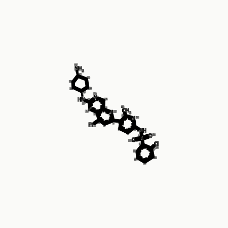 CCc1cc(-c2ccc(NS(=O)(=O)c3ccccc3Cl)nc2C)nc2cnc(N[C@H]3CC[C@H](N)CC3)nc12